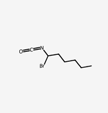 CCCCCC(Br)N=C=O